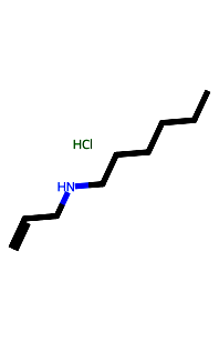 C=CCNCCCCCC.Cl